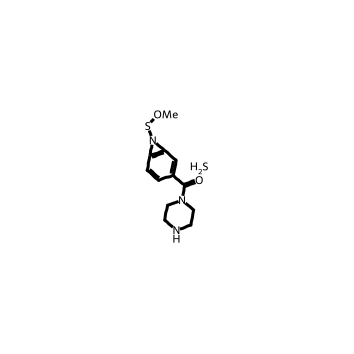 COSN1c2ccc(C(=O)N3CCNCC3)cc21.S